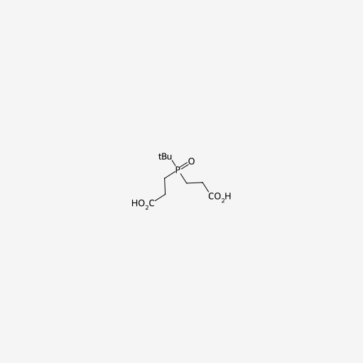 CC(C)(C)P(=O)(CCC(=O)O)CCC(=O)O